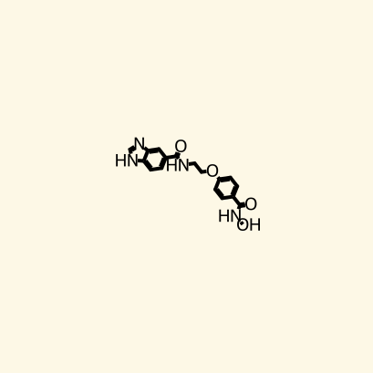 O=C(NO)c1ccc(OCCNC(=O)c2ccc3[nH]cnc3c2)cc1